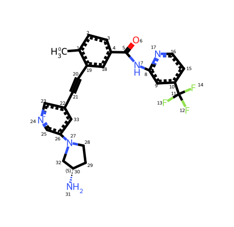 Cc1ccc(C(=O)Nc2cc(C(F)(F)F)ccn2)cc1C#Cc1cncc(N2CC[C@H](N)C2)c1